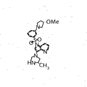 CO[C@H]1CCN(c2cccc(S(=O)(=O)n3cc(N4CCN[C@H](C)C4)c4ncccc43)c2)C1